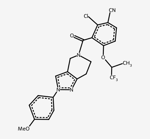 COc1ccc(-n2cc3c(n2)CCN(C(=O)c2c(OC(C)C(F)(F)F)ccc(C#N)c2Cl)C3)cc1